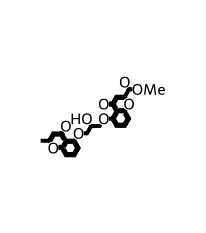 COC(=O)c1cc(=O)c2c(OCC(O)COc3cccc4oc(C)cc(=O)c34)cccc2o1